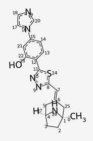 C[C@@]12CC[C@@H](C/C(=C\c3nnc(-c4ccc(-n5ccnc5)cc4O)s3)C1)N2